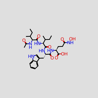 CCC(C)[C@H](NC(C)=O)C(=O)N[C@H](C(=O)N[C@@H](Cc1c[nH]c2ccccc12)C(=O)N[C@@H](CCC(=O)NO)C(=O)O)C(C)CC